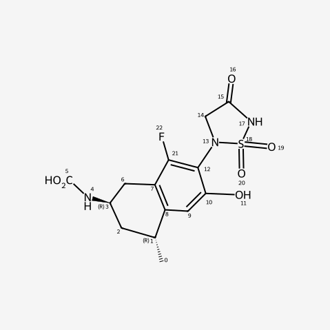 C[C@@H]1C[C@@H](NC(=O)O)Cc2c1cc(O)c(N1CC(=O)NS1(=O)=O)c2F